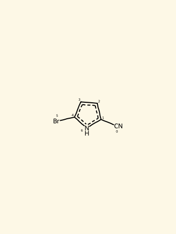 N#Cc1ccc(Br)[nH]1